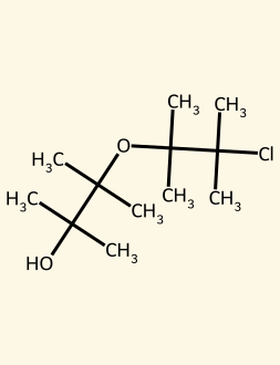 CC(C)(O)C(C)(C)OC(C)(C)C(C)(C)Cl